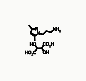 Cc1cc(C)n(CCCN)n1.O=C(O)C(O)C(O)C(=O)O